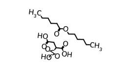 CCCCCCOC(=O)CCCCC.O=C(O)CC(C(=O)O)S(=O)(=O)O